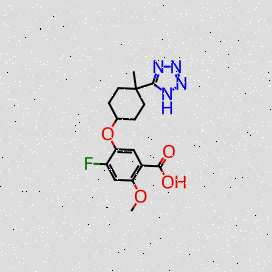 COc1cc(F)c(OC2CCC(C)(c3nnn[nH]3)CC2)cc1C(=O)O